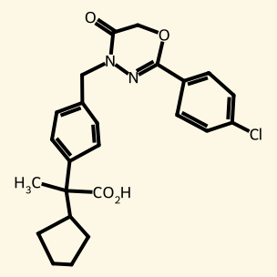 CC(C(=O)O)(c1ccc(CN2N=C(c3ccc(Cl)cc3)OCC2=O)cc1)C1CCCC1